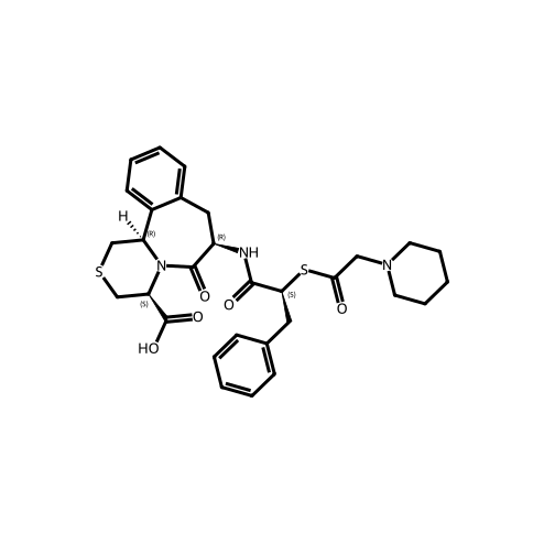 O=C(CN1CCCCC1)S[C@@H](Cc1ccccc1)C(=O)N[C@@H]1Cc2ccccc2[C@@H]2CSC[C@H](C(=O)O)N2C1=O